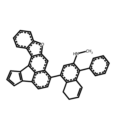 CNc1cc(-c2ccc3c4c(c5c(cc24)oc2ccccc25)C2=C3C=C=C2)c2c(c1-c1ccccc1)C=CCC2